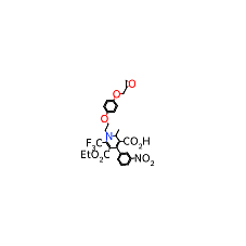 CCOC(=O)C1=C(C(F)(F)F)N(CCOc2ccc(OCC3CO3)cc2)C(C)C(C(=O)O)=C1c1cccc([N+](=O)[O-])c1